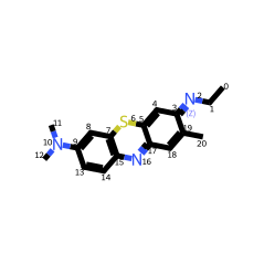 CC/N=c1/cc2sc3cc(N(C)C)ccc3nc-2cc1C